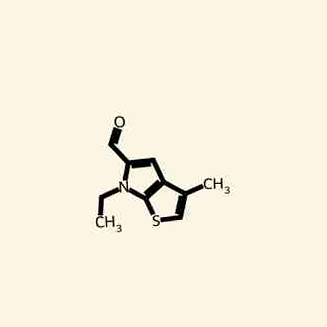 CCn1c(C=O)cc2c(C)csc21